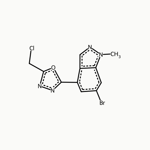 Cn1ncc2c(-c3nnc(CCl)o3)cc(Br)cc21